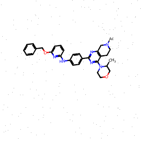 CC(=O)N1CCc2c(nc(-c3ccc(Nc4cccc(OCc5ccccc5)n4)cc3)nc2N2CCOCC2C)C1